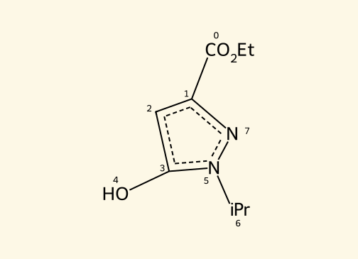 CCOC(=O)c1cc(O)n(C(C)C)n1